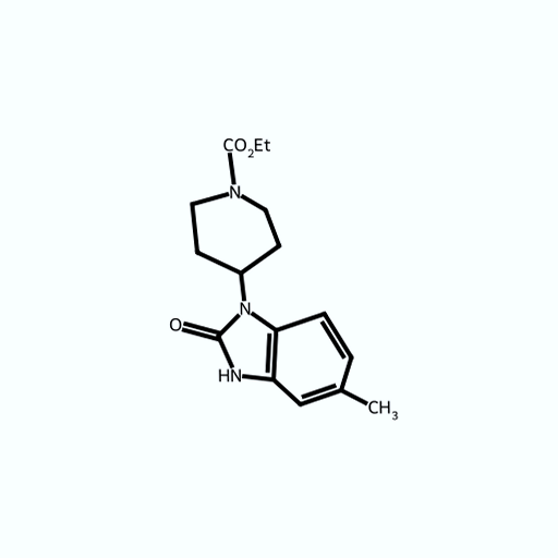 CCOC(=O)N1CCC(n2c(=O)[nH]c3cc(C)ccc32)CC1